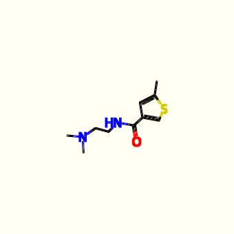 Cc1cc(C(=O)NCCN(C)C)cs1